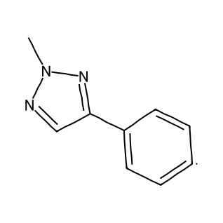 Cn1ncc(-c2cc[c]cc2)n1